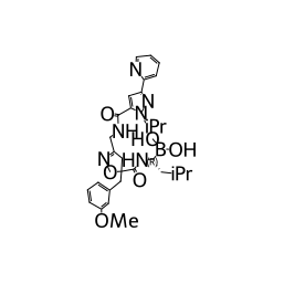 COc1cccc(CC2(C(=O)N[C@@H](CC(C)C)B(O)O)CC(CNC(=O)c3cc(-c4ccccn4)nn3C(C)C)=NO2)c1